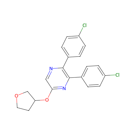 Clc1ccc(-c2ncc(OC3CCOC3)nc2-c2ccc(Cl)cc2)cc1